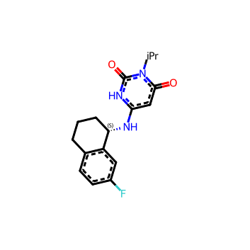 CC(C)n1c(=O)cc(N[C@H]2CCCc3ccc(F)cc32)[nH]c1=O